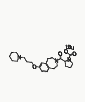 CC(C)(C)OC(=O)N1CCCC1C(=O)N1CCc2ccc(OCCCN3CCCCC3)cc2CC1